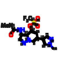 CNC(=O)Nc1cnn2cc(-c3cnn(C)c3)cc(OS(=O)(=O)C(F)(F)F)c12